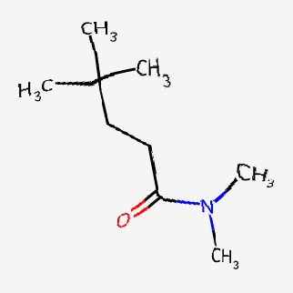 CN(C)C(=O)CCC(C)(C)C